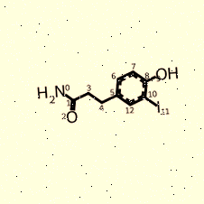 NC(=O)CCc1ccc(O)c(I)c1